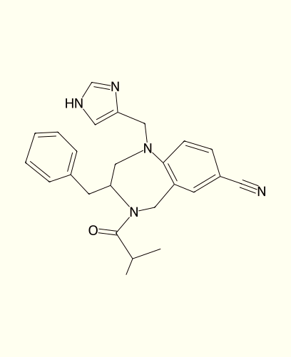 CC(C)C(=O)N1Cc2cc(C#N)ccc2N(Cc2c[nH]cn2)CC1Cc1ccccc1